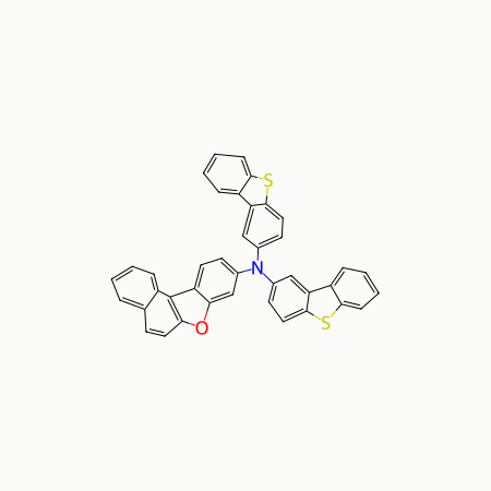 c1ccc2c(c1)ccc1oc3cc(N(c4ccc5sc6ccccc6c5c4)c4ccc5sc6ccccc6c5c4)ccc3c12